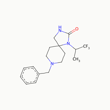 CC(N1C(=O)NCC12CCN(Cc1ccccc1)CC2)C(F)(F)F